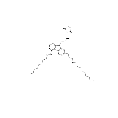 COCCCOCCNC(=O)CCCc1ccc2c(c1)C(COC(=O)ON1C(=O)CCC1=O)c1cccc(C(=O)NCCOCCCCO)c1-2